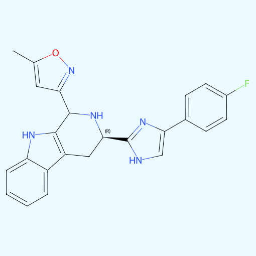 Cc1cc(C2N[C@@H](c3nc(-c4ccc(F)cc4)c[nH]3)Cc3c2[nH]c2ccccc32)no1